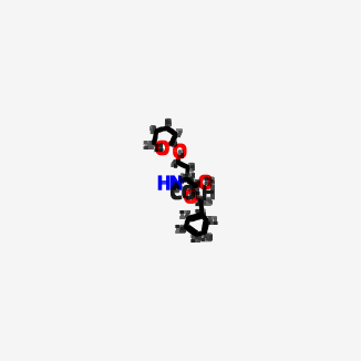 O=C(O)N[C@@H](CCOC1CCCCO1)C(=O)OCc1ccccc1